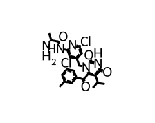 Cc1cc(Cl)cc(C(=O)c2c(C(C)C)c(=O)[nH]c(=O)n2Cc2cc(Cl)nc(NC(=O)C(C)N)c2)c1